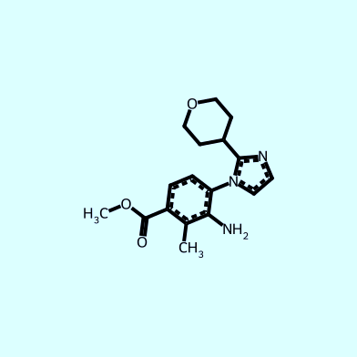 COC(=O)c1ccc(-n2ccnc2C2CCOCC2)c(N)c1C